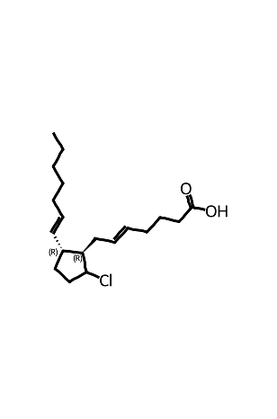 CCCCCC=C[C@H]1CCC(Cl)[C@@H]1CC=CCCCC(=O)O